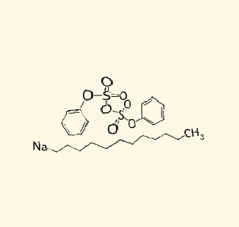 CCCCCCCCCCC[CH2][Na].O=S(=O)(Oc1ccccc1)OS(=O)(=O)Oc1ccccc1